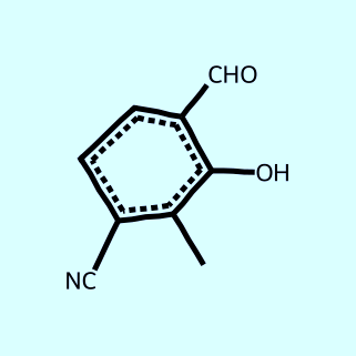 Cc1c(C#N)ccc(C=O)c1O